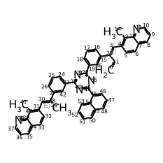 C=C/C(=C\c1ccc2cccnc2c1C)c1cccc(-c2nc(-c3cccc(/C(C)=C/c4ccc5cccnc5c4C)c3)nc(-c3cccc4ccccc34)n2)c1